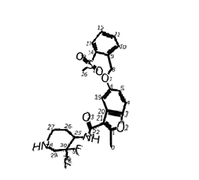 Cc1oc2ccc(OCc3ccccc3S(C)(=O)=O)cc2c1C(=O)NC1CCNCC1(F)F